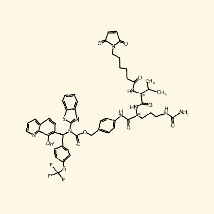 CC(C)[C@H](NC(=O)CCCCCN1C(=O)C=CC1=O)C(=O)N[C@@H](CCCNC(N)=O)C(=O)Nc1ccc(COC(=O)N(c2nc3ccccc3s2)C(c2ccc(OC(F)(F)F)cc2)c2ccc3cccnc3c2O)cc1